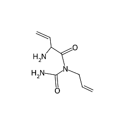 C=CCN(C(N)=O)C(=O)C(N)C=C